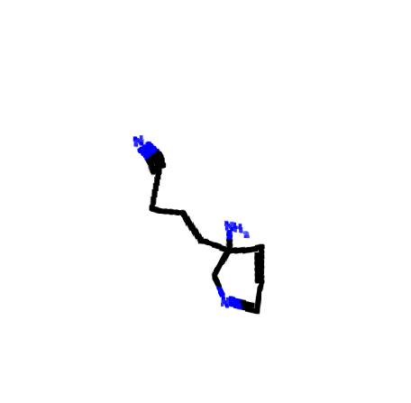 N#CCCCC1(N)C=CC=NC1